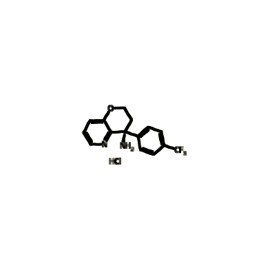 Cl.N[C@]1(c2ccc(C(F)(F)F)cc2)CCOc2cccnc21